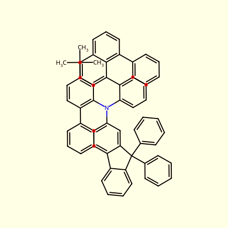 CC(C)(C)c1ccc(-c2ccccc2)c(N(c2ccc3c(c2)C(c2ccccc2)(c2ccccc2)c2ccccc2-3)c2ccccc2-c2cccc3cccc(-c4ccccc4)c23)c1